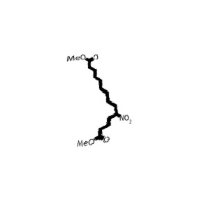 COC(=O)CCCCCCCCC(CCCC(=O)OC)[N+](=O)[O-]